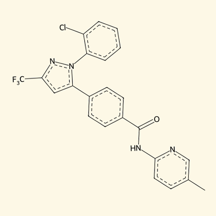 Cc1ccc(NC(=O)c2ccc(-c3cc(C(F)(F)F)nn3-c3ccccc3Cl)cc2)nc1